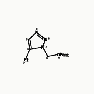 CCCCCCn1nncc1CC